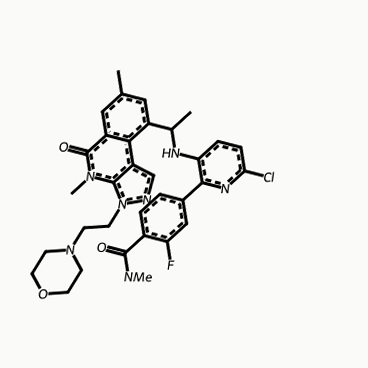 CNC(=O)c1ccc(-c2nc(Cl)ccc2NC(C)c2cc(C)cc3c(=O)n(C)c4c(cnn4CCN4CCOCC4)c23)cc1F